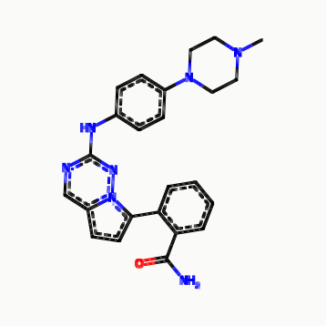 CN1CCN(c2ccc(Nc3ncc4ccc(-c5ccccc5C(N)=O)n4n3)cc2)CC1